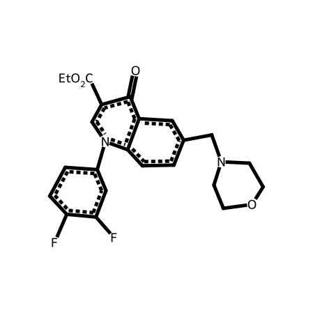 CCOC(=O)c1cn(-c2ccc(F)c(F)c2)c2ccc(CN3CCOCC3)cc2c1=O